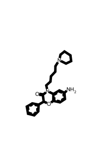 Nc1ccc2c(c1)N(CCCCCN1CCCCC1)C(=O)C(c1ccccc1)O2